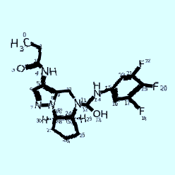 CCC(=O)Nc1cnn2c1CN(C(O)Nc1cc(F)c(F)c(F)c1)[C@H]1CCC[C@H]12